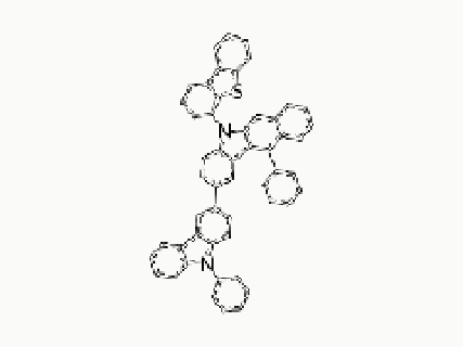 c1ccc(-c2c3ccccc3cc3c2c2cc(-c4ccc5c(c4)c4ccccc4n5-c4ccccc4)ccc2n3-c2cccc3c2sc2ccccc23)cc1